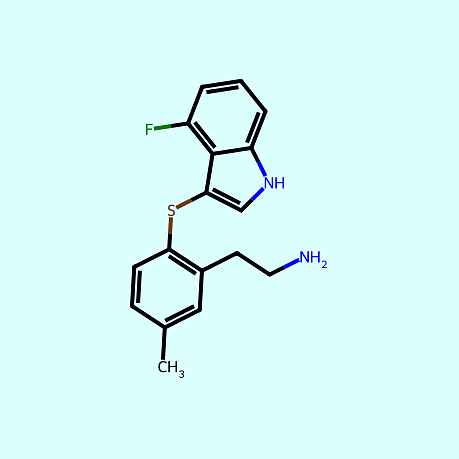 Cc1ccc(Sc2c[nH]c3cccc(F)c23)c(CCN)c1